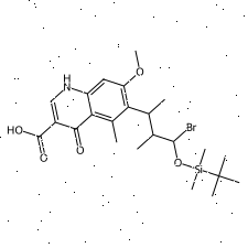 COc1cc2[nH]cc(C(=O)O)c(=O)c2c(C)c1C(C)C(C)C(Br)O[Si](C)(C)C(C)(C)C